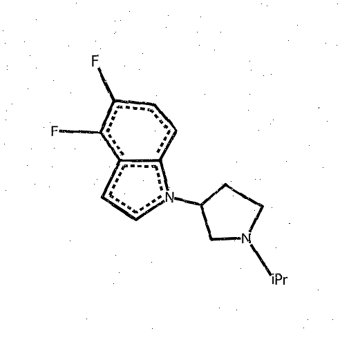 CC(C)N1CCC(n2ccc3c(F)c(F)ccc32)C1